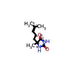 CC(C)=CCCC1(C)NC(=O)NC1=O